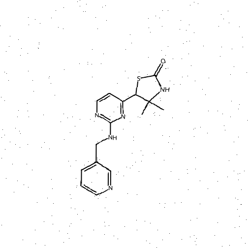 CC1(C)NC(=O)SC1c1ccnc(NCc2cccnc2)n1